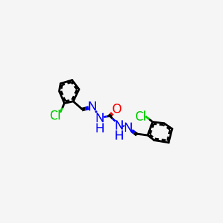 O=C(NN=Cc1ccccc1Cl)NN=Cc1ccccc1Cl